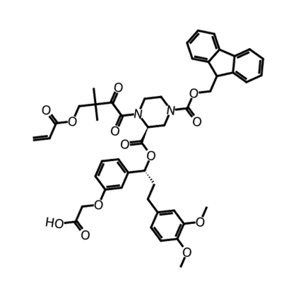 C=CC(=O)OCC(C)(C)C(=O)C(=O)N1CCN(C(=O)OCC2c3ccccc3-c3ccccc32)C[C@H]1C(=O)O[C@H](CCc1ccc(OC)c(OC)c1)c1cccc(OCC(=O)O)c1